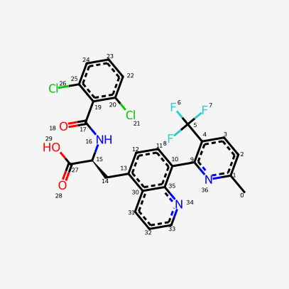 Cc1ccc(C(F)(F)F)c(-c2ccc(C[C@H](NC(=O)c3c(Cl)cccc3Cl)C(=O)O)c3cccnc23)n1